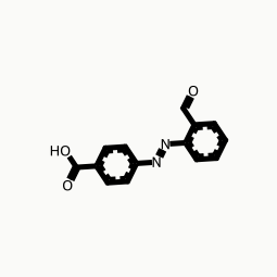 O=Cc1ccccc1N=Nc1ccc(C(=O)O)cc1